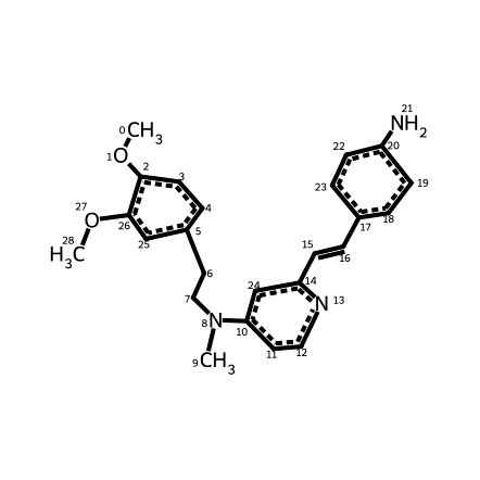 COc1ccc(CCN(C)c2ccnc(C=Cc3ccc(N)cc3)c2)cc1OC